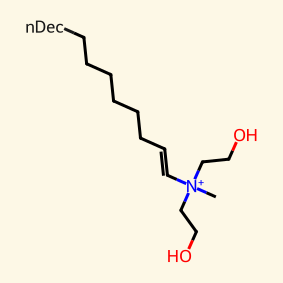 CCCCCCCCCCCCCCCCC=C[N+](C)(CCO)CCO